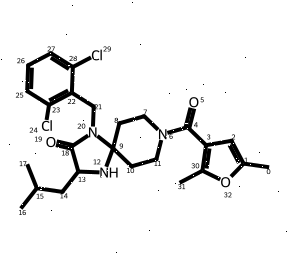 Cc1cc(C(=O)N2CCC3(CC2)NC(CC(C)C)C(=O)N3Cc2c(Cl)cccc2Cl)c(C)o1